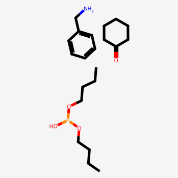 CCCCOP(O)OCCCC.NCc1ccccc1.O=C1CCCCC1